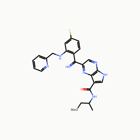 COCC(C)NC(=O)c1c[nH]c2ncc(C(=N)c3ccc(F)cc3NCc3ccccn3)nc12